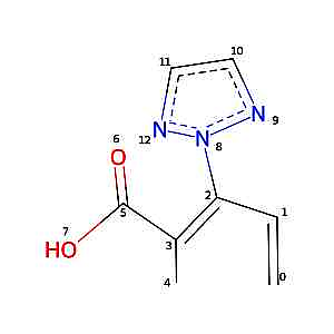 C=C/C(=C(\C)C(=O)O)n1nccn1